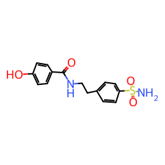 NS(=O)(=O)c1ccc(CCNC(=O)c2ccc(O)cc2)cc1